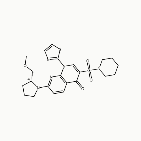 COC[C@H]1CCCN1c1ccc2c(=O)c(S(=O)(=O)N3CCCCC3)cn(-c3nccs3)c2n1